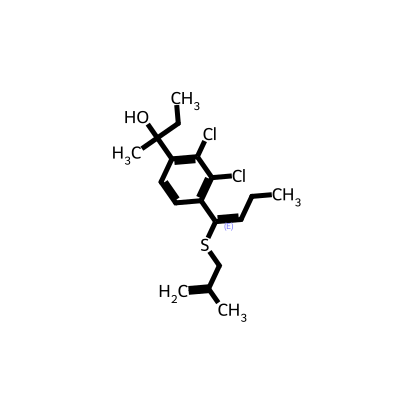 C=C(C)CS/C(=C/CC)c1ccc(C(C)(O)CC)c(Cl)c1Cl